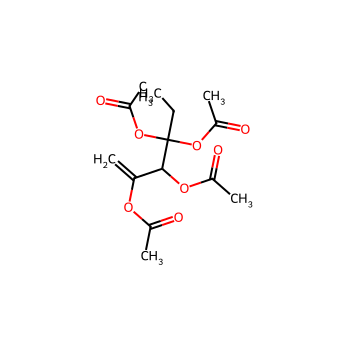 C=C(OC(C)=O)C(OC(C)=O)C(CC)(OC(C)=O)OC(C)=O